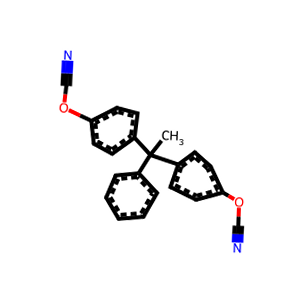 CC(c1ccccc1)(c1ccc(OC#N)cc1)c1ccc(OC#N)cc1